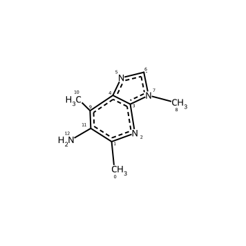 Cc1nc2c(n[c]n2C)c(C)c1N